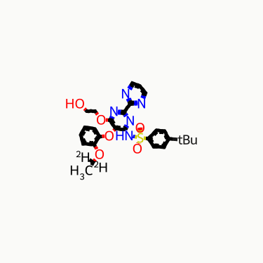 [2H]C([2H])(C)Oc1ccccc1Oc1c(NS(=O)(=O)c2ccc(C(C)(C)C)cc2)nc(-c2ncccn2)nc1OCCO